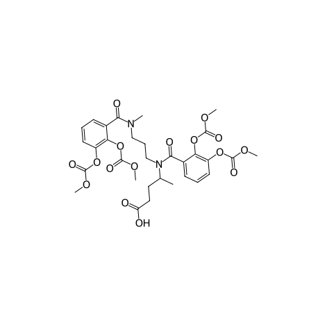 COC(=O)Oc1cccc(C(=O)N(C)CCCN(C(=O)c2cccc(OC(=O)OC)c2OC(=O)OC)C(C)CCC(=O)O)c1OC(=O)OC